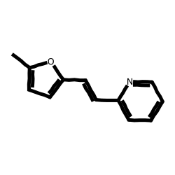 Cc1ccc(C=Cc2ccccn2)o1